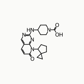 O=C(O)N1CCC(Nc2ncc3ccc(=O)n(C4CCCC45CC5)c3n2)CC1